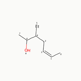 C/C=C\CC(CC)C(C)O